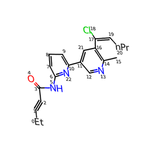 CCC#CC(=O)Nc1cccc(-c2cnc(C)c(/C(Cl)=C\CCC)c2)n1